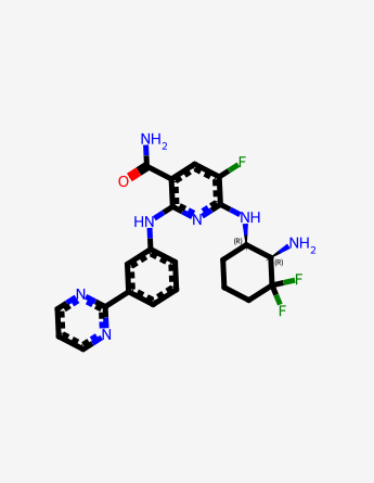 NC(=O)c1cc(F)c(N[C@@H]2CCCC(F)(F)[C@@H]2N)nc1Nc1cccc(-c2ncccn2)c1